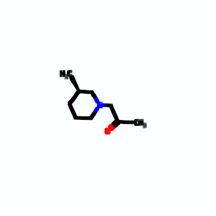 CC(=O)CN1CCC[C@@H](C)C1